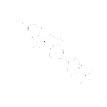 Cc1ccc(C(C)(c2ccc(-c3ccc(C(F)(F)F)nn3)cc2)C(C)C)nc1